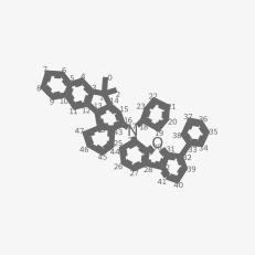 CC1(C)c2cc3ccccc3cc2-c2c1cc(N(c1ccccc1)c1cccc3c1oc1c(-c4ccccc4)cccc13)c1ccccc21